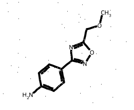 COCc1nc(-c2ccc(N)cc2)no1